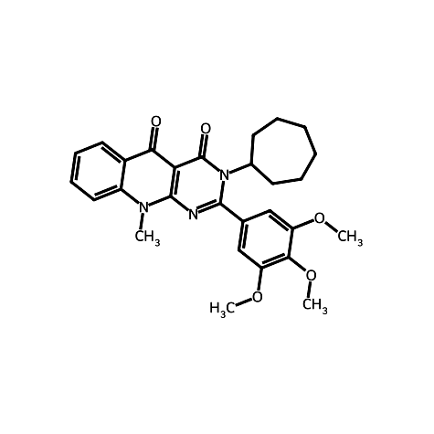 COc1cc(-c2nc3c(c(=O)c4ccccc4n3C)c(=O)n2C2CCCCCC2)cc(OC)c1OC